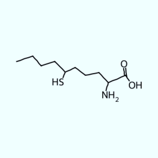 CCCCC(S)CCCC(N)C(=O)O